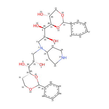 O[C@H]([C@@H](O)CN(C[C@H](O)[C@@H](O)[C@@H]1OC(c2ccccc2)OC[C@H]1O)C1CCNCC1)[C@H]1CCOC(c2ccccc2)O1